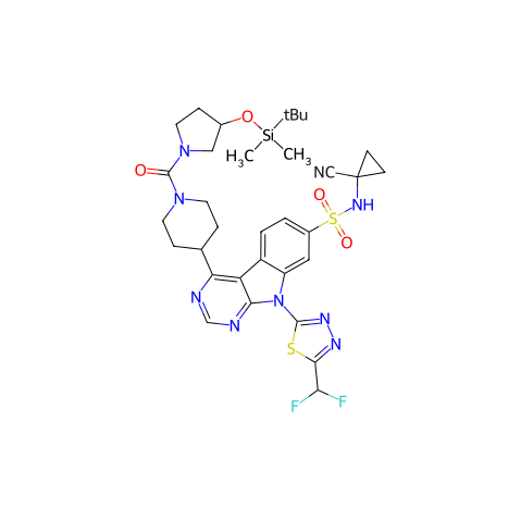 CC(C)(C)[Si](C)(C)OC1CCN(C(=O)N2CCC(c3ncnc4c3c3ccc(S(=O)(=O)NC5(C#N)CC5)cc3n4-c3nnc(C(F)F)s3)CC2)C1